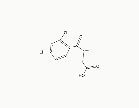 CC(CC(=O)O)C(=O)c1ccc(Cl)cc1Cl